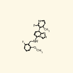 COc1cccc(F)c1CNc1ccc(-c2c(C)ccnc2F)c2nncn12